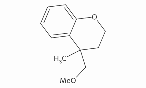 COCC1(C)CCOc2ccccc21